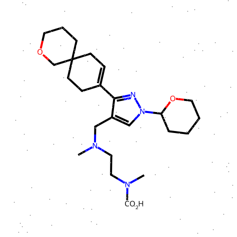 CN(CCN(C)C(=O)O)Cc1cn(C2CCCCO2)nc1C1=CCC2(CCCOC2)CC1